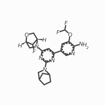 Nc1ncc(-c2cc(N3C[C@@H]4OC[C@H]3C4F)nc(N3CC4CCC3C4)n2)cc1OC(F)F